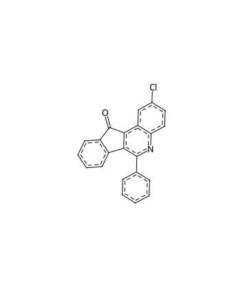 O=C1c2ccccc2-c2c(-c3ccccc3)nc3ccc(Cl)cc3c21